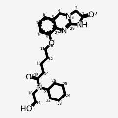 O=C1CN2Cc3cccc(OCCCCC(=O)N(CCO)C4CCCCC4)c3N=C2N1